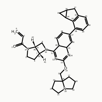 C=CC(=O)N1CC[C@@H]2[C@H]1CN2C1=NC(OCC23CCCN2CCC3)=NC2C=C(c3cccc4c3C3CC3C4)C=CC12